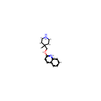 CC1(COc2c[c]c3ccccc3n2)CCNCC1